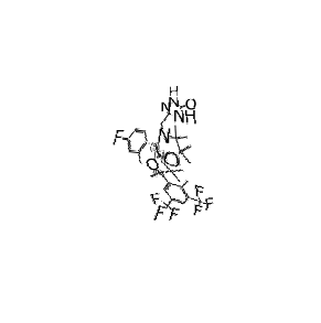 Cc1cc(F)ccc1[C@H]1[C@@H](O[C@@](C)(c2cc(C(F)(F)F)cc(C(F)(F)F)c2C)C(C)(C)C)OC(C)(C)C(C)(C)N1Cc1n[nH]c(=O)[nH]1